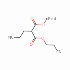 CCCCCOC(=O)C(CCC#N)C(=O)OCCC#N